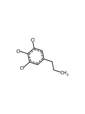 C[CH]Cc1cc(Cl)c(Cl)c(Cl)c1